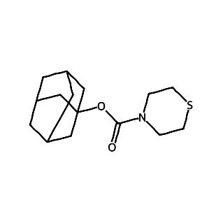 O=C(OC12CC3CC(CC(C3)C1)C2)N1CCSCC1